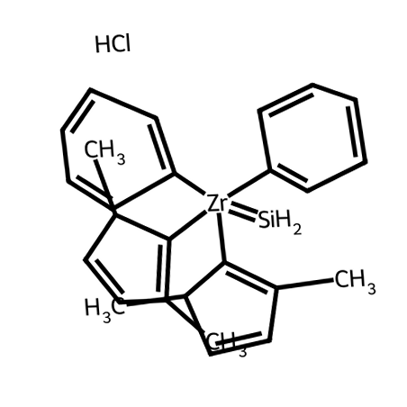 CC1=[C]([Zr](=[SiH2])([C]2=C(C)C=CC2C)([c]2ccccc2)[c]2ccccc2)C(C)C=C1.Cl